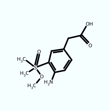 COS(C)(C)(=O)c1cc(CC(=O)O)ccc1N